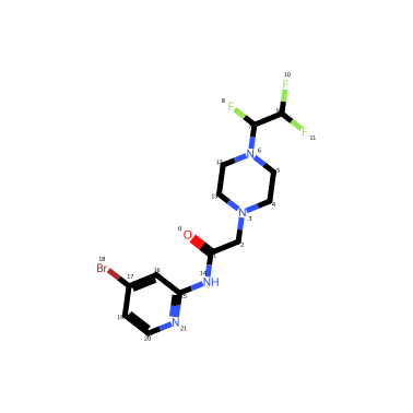 O=C(CN1CCN(C(F)C(F)F)CC1)Nc1cc(Br)ccn1